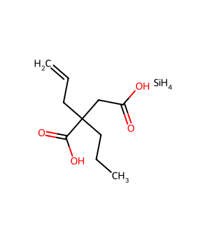 C=CCC(CCC)(CC(=O)O)C(=O)O.[SiH4]